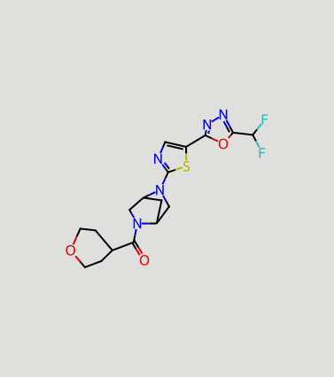 O=C(C1CCOCC1)N1CC2CC1CN2c1ncc(-c2nnc(C(F)F)o2)s1